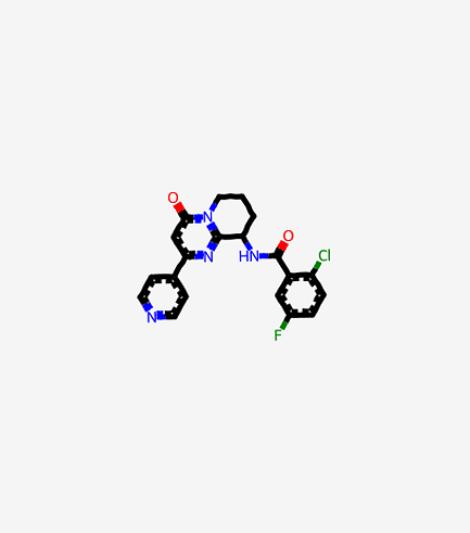 O=C(NC1CCCn2c1nc(-c1ccncc1)cc2=O)c1cc(F)ccc1Cl